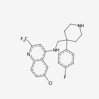 Fc1ccc(C2(CNc3cc(C(F)(F)F)nc4ccc(Cl)cc34)CCNCC2)cc1